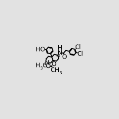 CC(=O)OC12CC[C@H](NC(=O)Cc3ccc(Cl)c(Cl)c3)CC1(c1cccc(O)c1)CCN(C)C2